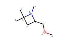 COCC1CC(C)(C)N1C